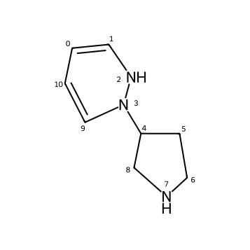 C1=CNN(C2CCNC2)C=C1